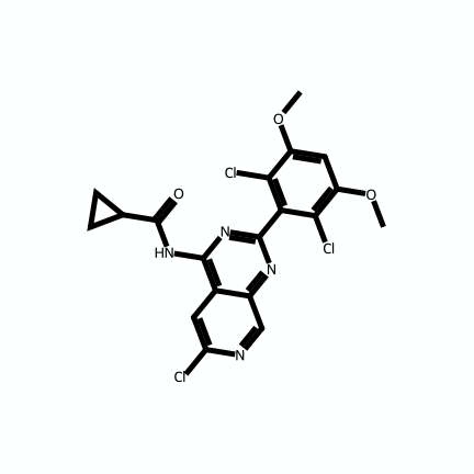 COc1cc(OC)c(Cl)c(-c2nc(NC(=O)C3CC3)c3cc(Cl)ncc3n2)c1Cl